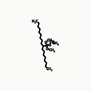 CCCCCCCCCC(CCCCCCCC)[Si](OC)(OC)OC.[SiH4]